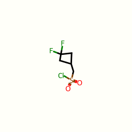 O=S(=O)(Cl)CC1CC(F)(F)C1